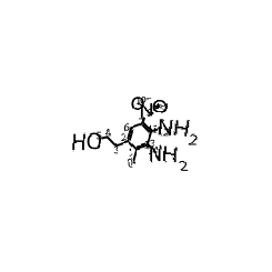 Cc1c(CCO)cc([N+](=O)[O-])c(N)c1N